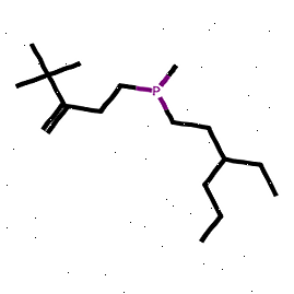 C=C(CCP(C)CCC(CC)CCC)C(C)(C)C